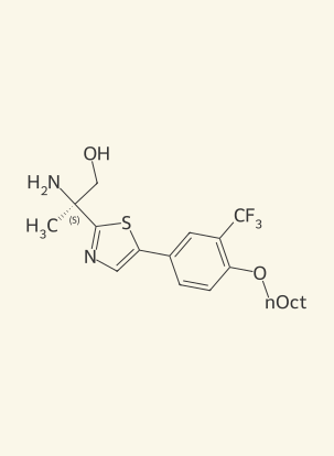 CCCCCCCCOc1ccc(-c2cnc([C@@](C)(N)CO)s2)cc1C(F)(F)F